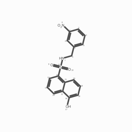 O=[N+]([O-])c1cccc(CNS(=O)(=O)c2cccc3c(O)cccc23)c1